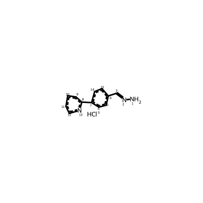 Cl.NN=Cc1ccc(-c2ccccn2)cc1